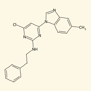 Cc1ccc2c(c1)ncn2-c1cc(Cl)nc(NCCc2ccccc2)n1